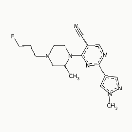 CC1CN(CCCF)CCN1c1nc(-c2cnn(C)c2)ncc1C#N